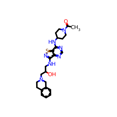 CC(=O)N1CCC(Nc2ncnc3c(NCC(O)CN4CCc5ccccc5C4)nsc23)CC1